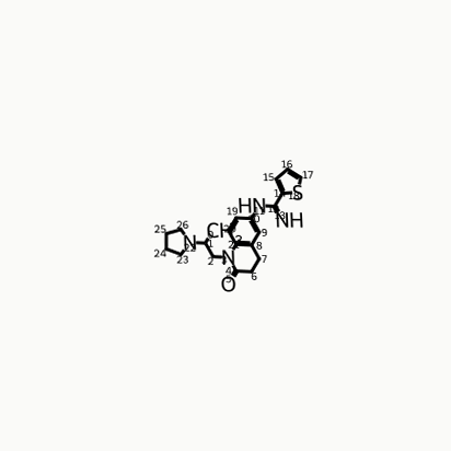 CC(CN1C(=O)CCc2cc(NC(=N)c3cccs3)ccc21)N1CCCC1